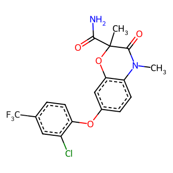 CN1C(=O)C(C)(C(N)=O)Oc2cc(Oc3ccc(C(F)(F)F)cc3Cl)ccc21